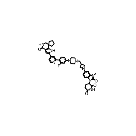 Cn1c(=O)n(C2CCC(=O)NC2=O)c2ccc(N3CC(CN4CCN(c5ccc(-c6cc(-c7cc8c([nH]7)C7(CCCC7)CNC8=O)ccn6)c(F)c5)CC4)C3)cc21